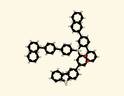 c1ccc(-c2ccc(-c3ccc4ccccc4c3)cc2N(c2ccc(-c3ccc(-c4cccc5ccccc45)cc3)cc2)c2cccc(-c3ccc4oc5ccccc5c4c3)c2)cc1